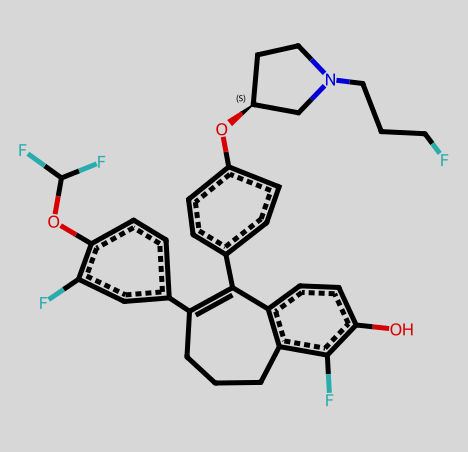 Oc1ccc2c(c1F)CCCC(c1ccc(OC(F)F)c(F)c1)=C2c1ccc(O[C@H]2CCN(CCCF)C2)cc1